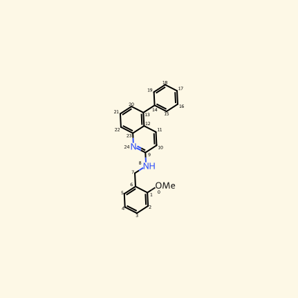 COc1ccccc1CNc1ccc2c(-c3ccccc3)cccc2n1